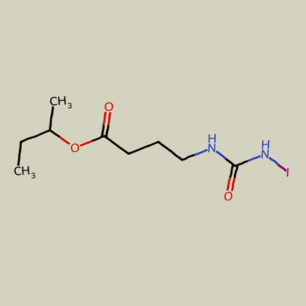 CCC(C)OC(=O)CCCNC(=O)NI